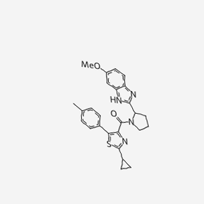 COc1ccc2nc(C3CCCN3C(=O)c3nc(C4CC4)sc3-c3ccc(C)cc3)[nH]c2c1